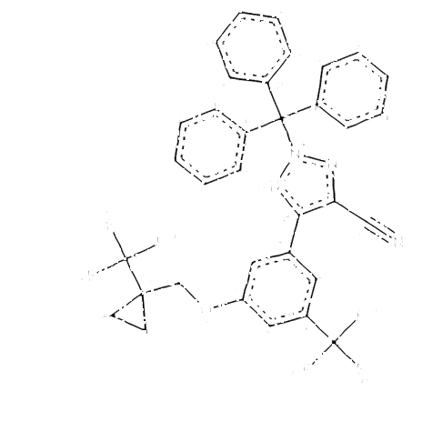 N#Cc1nn(C(c2ccccc2)(c2ccccc2)c2ccccc2)nc1-c1cc(OCC2(C(F)(F)F)CC2)cc(C(F)(F)F)c1